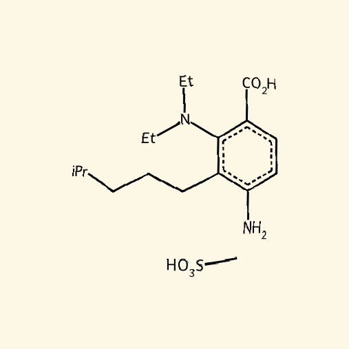 CCN(CC)c1c(C(=O)O)ccc(N)c1CCCC(C)C.CS(=O)(=O)O